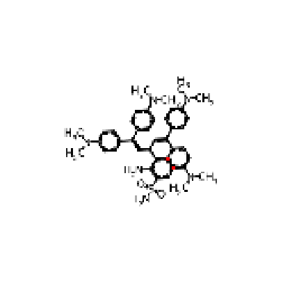 CN(C)c1ccc(C(=CC(C=C(c2ccc(N(C)C)cc2)c2ccc(N(C)C)cc2)c2cccc(S(N)(=O)=O)c2N)c2ccc(N(C)C)cc2)cc1